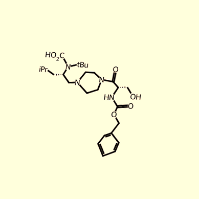 CC(C)C[C@@H](CN1CCN(C(=O)[C@H](CO)NC(=O)OCc2ccccc2)CC1)N(C(=O)O)C(C)(C)C